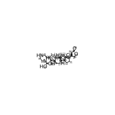 C[C@]12CC[C@H](C3CNCCN3C(=O)O)C[C@H]1CC[C@@H]1[C@@H]2CC[C@]2(C)[C@@H](C3=CC(=O)OC3)CC[C@]12O